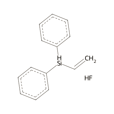 C=C[SiH](c1ccccc1)c1ccccc1.F